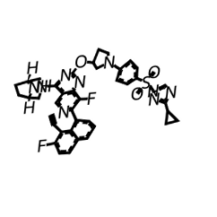 C#Cc1c(F)ccc2cccc(-c3ncc4c(N5C[C@H]6CC[C@@H](C5)N6)nc(OC5CCN(c6ccc(S(=O)(=O)n7cnc(C8CC8)n7)cc6)C5)nc4c3F)c12